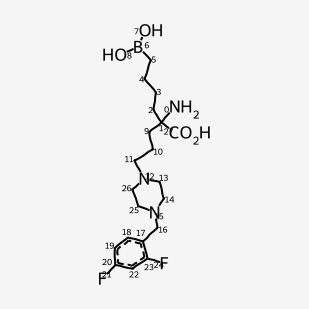 NC(CCCCB(O)O)(CCCN1CCN(Cc2ccc(F)cc2F)CC1)C(=O)O